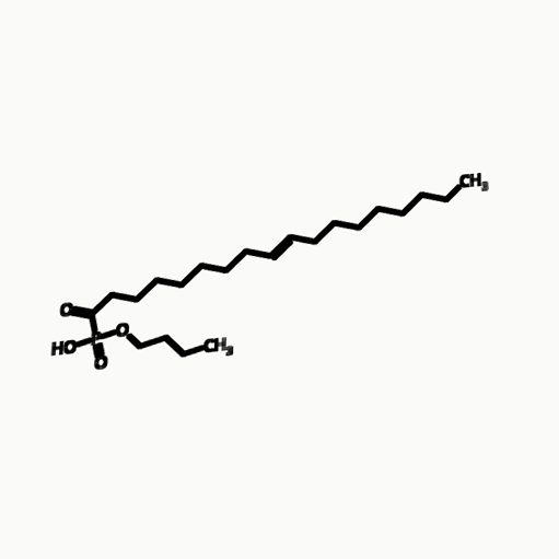 CCCCCCCCC=CCCCCCCCC(=O)P(=O)(O)OCCCC